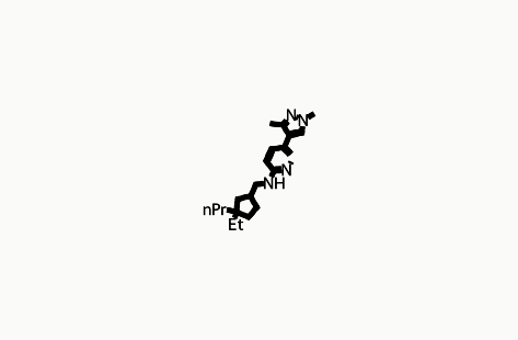 C=C(/C=C\C(=N/C)NCC1CCC(CC)(CCC)C1)c1cn(C)nc1C